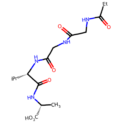 CCC(=O)NCC(=O)NCC(=O)N[C@H](C(=O)N[C@H](C)C(=O)O)C(C)C